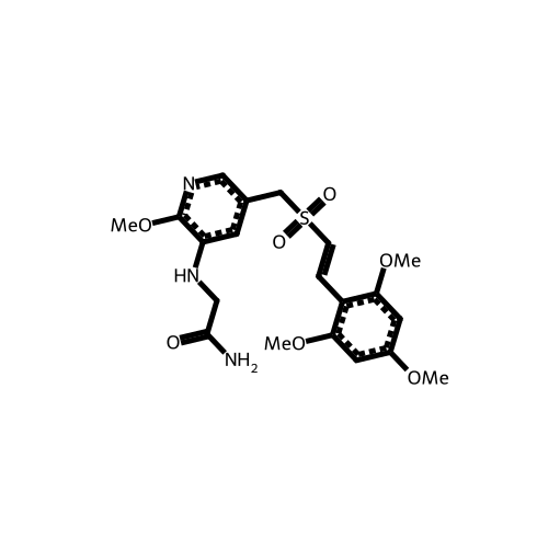 COc1cc(OC)c(/C=C/S(=O)(=O)Cc2cnc(OC)c(NCC(N)=O)c2)c(OC)c1